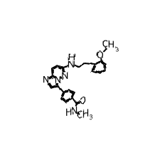 CCOc1ccccc1CCNc1ccc2ncc(-c3ccc(C(=O)NC)cc3)n2n1